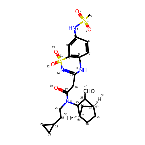 CS(=O)(=O)Nc1ccc2c(c1)S(=O)(=O)N=C(CC(=O)N(CCC1CC1)C1C(C=O)[C@H]3CC[C@@H]1C3)N2